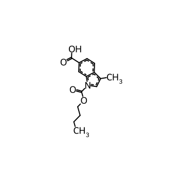 CCCCOC(=O)n1cc(C)c2ccc(C(=O)O)cc21